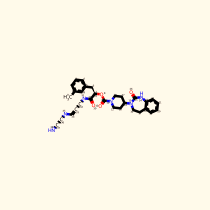 Cc1cccc(C[C@@H](OC(=O)N2CCC(N3CCc4ccccc4NC3=O)CC2)C(=O)N=C=C=CN=C=C=N)c1